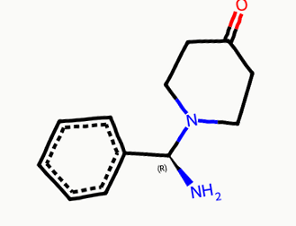 N[C@@H](c1ccccc1)N1CCC(=O)CC1